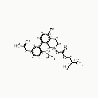 COc1ccc(CC(=O)O)cc1-c1ccc(F)c2c1CN(OC(=O)OCC(C)C)CC2